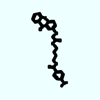 CN(C)c1ccc(C(=O)OCCCCOC(=O)COc2ccc3sc4ccccc4c(=O)c3c2)cc1